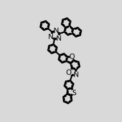 c1ccc(-c2nc(-c3cccc(-c4ccc5c(c4)oc4ccc6nc(-c7ccc8c(c7)sc7ccccc78)oc6c45)c3)nc(-c3cc4ccccc4c4ccccc34)n2)cc1